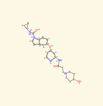 O=C(CCN1CCC(O)CC1)Nc1cc(Oc2ccc3c(ccn3C(=O)NC3CC3)c2)ccn1